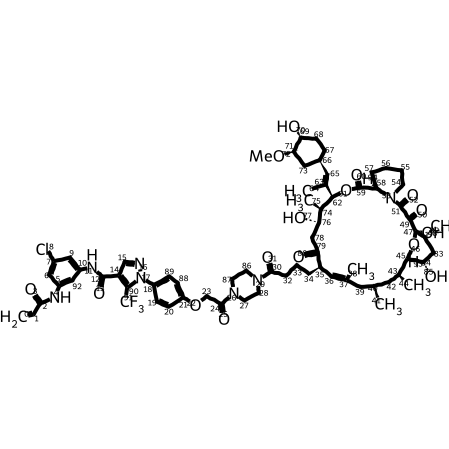 C=CC(=O)Nc1cc(Cl)cc(NC(=O)c2cnn(-c3ccc(OCC(=O)N4CCN(C(=O)CCC[C@@H]5/C=C(\C)C[C@H](C)C[C@H](C)[C@H]6O[C@@](O)(C(=O)C(=O)N7CCCC[C@H]7C(=O)O[C@H](/C(C)=C/[C@@H]7CC[C@@H](O)[C@H](OC)C7)[C@H](C)[C@@H](O)CC5=O)[C@H](C)C[C@@H]6O)CC4)cc3)c2C(F)(F)F)c1